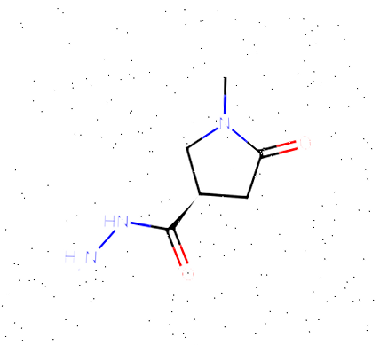 CN1C[C@H](C(=O)NN)CC1=O